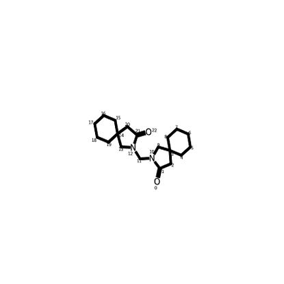 O=C1CC2(CCCCC2)CN1CN1CC2(CCCCC2)CC1=O